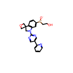 [O-][S+](CCO)c1ccc2c(c1)N(c1ncc(-c3ccccn3)cn1)CC21COC1